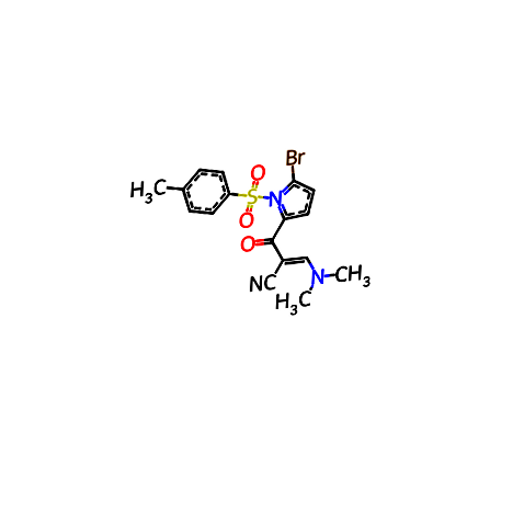 Cc1ccc(S(=O)(=O)n2c(Br)ccc2C(=O)C(C#N)=CN(C)C)cc1